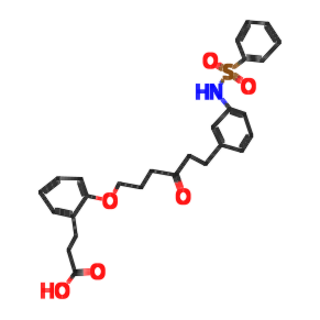 O=C(O)CCc1ccccc1OCCCC(=O)CCc1cccc(NS(=O)(=O)c2ccccc2)c1